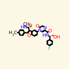 CNC(=O)c1c(-c2ccc(C)cc2)oc2ccc(-n3cc(C(=O)N[C@H](CO)c4ccc(F)cc4)ncc3=O)cc12